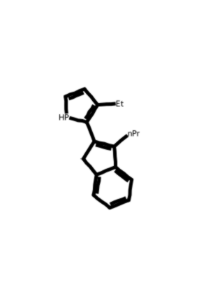 CCCC1=C(c2[pH]ccc2CC)[CH]c2ccccc21